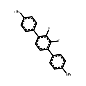 CCCCc1ccc(-c2ccc(-c3ccc(CCC)cc3)c(F)c2F)cc1